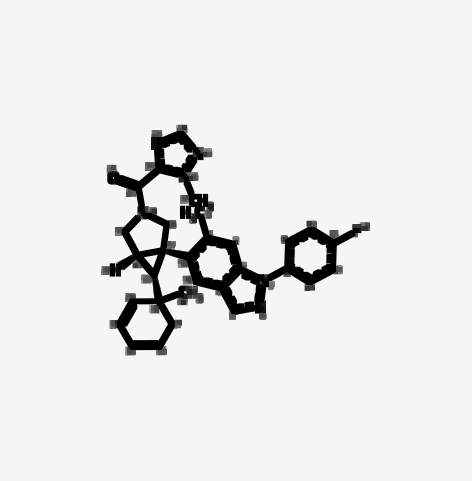 Cc1cc2c(cnn2-c2ccc(F)cc2)cc1[C@]12CN(C(=O)c3ncnn3C)C[C@H]1[C@@H]2C1(C)C=CC=CC1